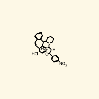 CC(NC(=O)c1ccc([N+](=O)[O-])cc1)N1CCCCC1=C1c2ccccc2C=Cc2ccccc21.Cl